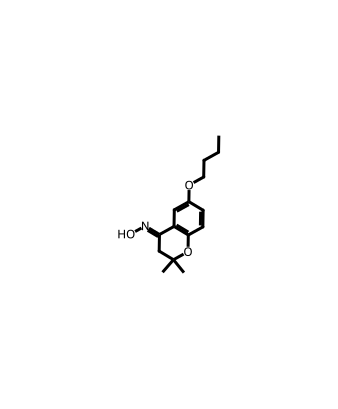 CCCCOc1ccc2c(c1)C(=NO)CC(C)(C)O2